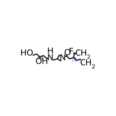 C=C/C=C(/CC(=O)N1CC(CNCC[C@H](O)CCO)C1)C(=C)F